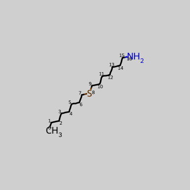 CCCCCCCCSCCCCCCCN